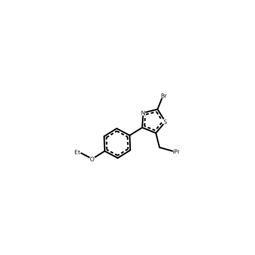 CCOc1ccc(-c2nc(Br)sc2CC(C)C)cc1